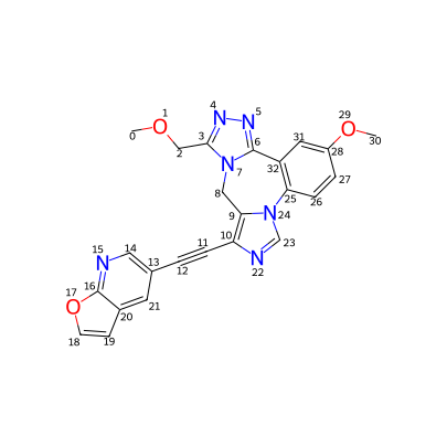 COCc1nnc2n1Cc1c(C#Cc3cnc4occc4c3)ncn1-c1ccc(OC)cc1-2